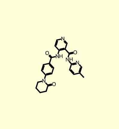 Cc1ccc(NC(=O)c2cnccc2NC(=O)c2ccc(N3CCCCC3=O)cc2)nc1